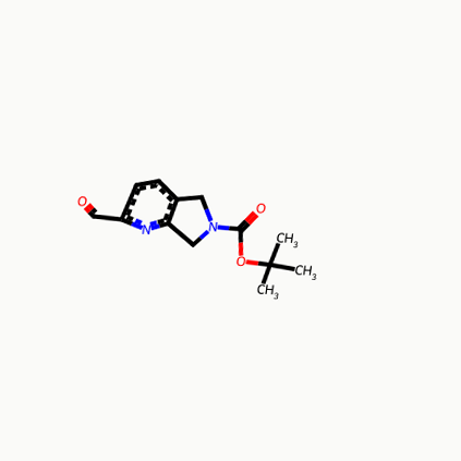 CC(C)(C)OC(=O)N1Cc2ccc(C=O)nc2C1